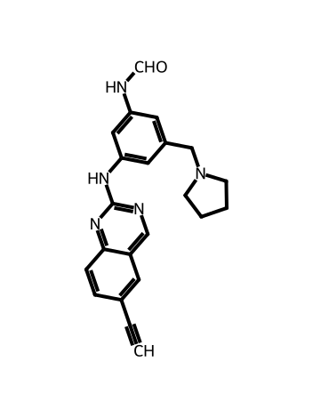 C#Cc1ccc2nc(Nc3cc(CN4CCCC4)cc(NC=O)c3)ncc2c1